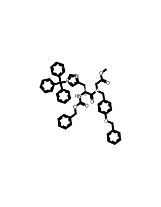 COC(=O)CN(Cc1ccc(OCc2ccccc2)cc1)C(=O)[C@H](Cc1cn(C(c2ccccc2)(c2ccccc2)c2ccccc2)cn1)NC(=O)OCc1ccccc1